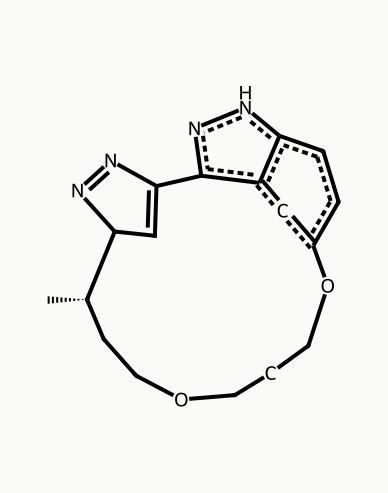 C[C@H]1CCOCCCOc2ccc3[nH]nc(c3c2)C2=CC1N=N2